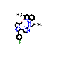 CCCNc1nccc(-c2c(-c3ccc(F)cc3)nc3n2C(COc2nc4ccccc4cc2C)CC3)n1